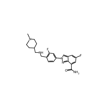 CN1CCC(CNCc2ccc(-n3cc4cc(F)cc(C(N)=O)c4n3)cc2F)CC1